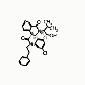 CC(C)[C@@H](CO)N1C(=O)c2ccccc2[C@H](C(=O)NCCc2ccccc2)[C@H]1c1ccc(Cl)cc1Cl